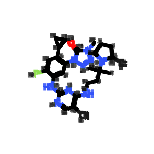 CC[C@@H]1CCCN1C(C)(C)CCNc1nc(Nc2cc(-n3nnn(C)c3=O)c(C3CC3)cc2F)ncc1C#N